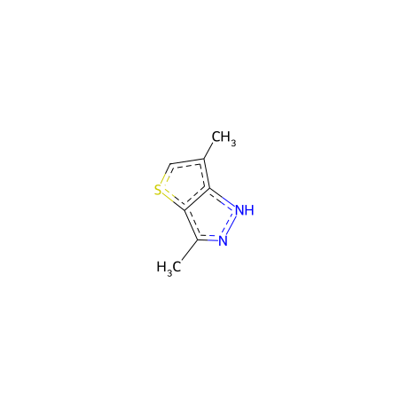 Cc1csc2c(C)n[nH]c12